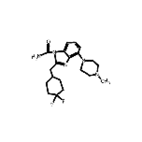 CN1CCN(c2cccc3c2nc(CC2CCC(F)(F)CC2)n3C(N)=O)CC1